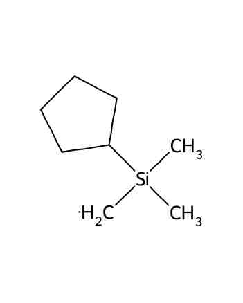 [CH2][Si](C)(C)C1CCCC1